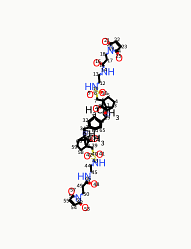 CC1(C)C2CCC1(CS(=O)(=O)NCCNC(=O)CCN1C(=O)C=CC1=O)C(=O)/C2=C\c1ccc(/C=C2\C(=O)C3(CS(=O)(=O)NCCNC(=O)CCN4C(=O)C=CC4=O)CCC2C3(C)C)cc1